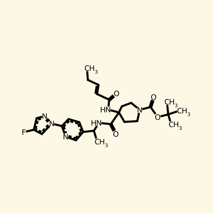 CCC=CC(=O)NC1(C(=O)NC(C)c2ccc(-n3cc(F)cn3)nc2)CCN(C(=O)OC(C)(C)C)CC1